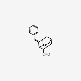 O=CC1C2CC3CC(C2)C(=Cc2ccccc2)C1C3